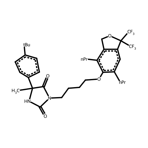 CCCc1cc2c(c(CCC)c1OCCCCN1C(=O)NC(C)(c3ccc(C(C)(C)C)cc3)C1=O)COC2(C(F)(F)F)C(F)(F)F